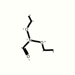 CCON(C=O)OCC